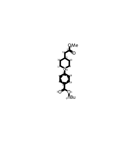 CCCCOC(=O)c1ccc(N2CCC(CC(=O)OC)CC2)cc1